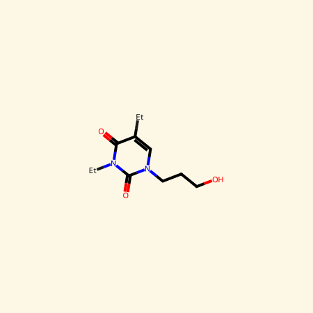 CCc1cn(CCCO)c(=O)n(CC)c1=O